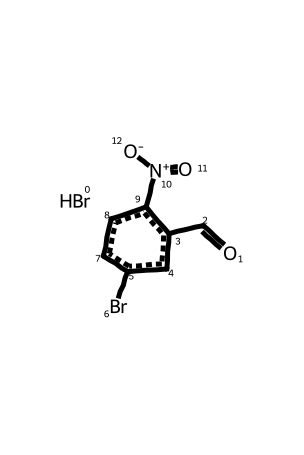 Br.O=Cc1cc(Br)ccc1[N+](=O)[O-]